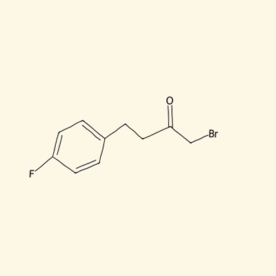 O=C(CBr)CCc1ccc(F)cc1